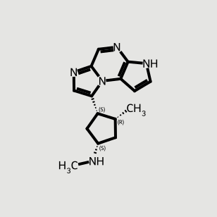 CN[C@H]1C[C@@H](C)[C@@H](c2cnc3cnc4[nH]ccc4n23)C1